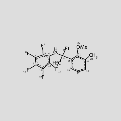 CCC(C)(Pc1c(F)c(F)c(F)c(F)c1F)c1cccc(C)c1OC